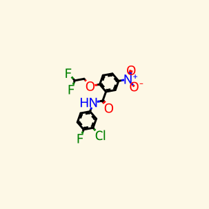 O=C(Nc1ccc(F)c(Cl)c1)c1cc([N+](=O)[O-])ccc1OCC(F)F